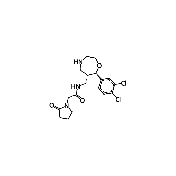 O=C(CN1CCCC1=O)NC[C@@H]1CNCCO[C@H]1c1ccc(Cl)c(Cl)c1